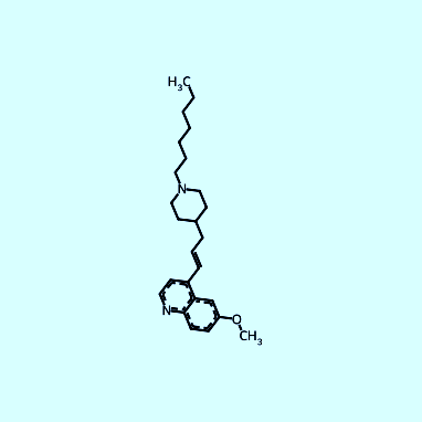 CCCCCCCN1CCC(C/C=C/c2ccnc3ccc(OC)cc23)CC1